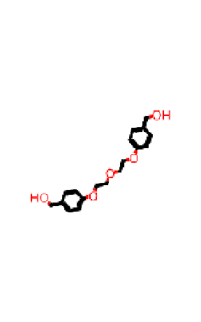 OCc1ccc(OCCOCCOc2ccc(CO)cc2)cc1